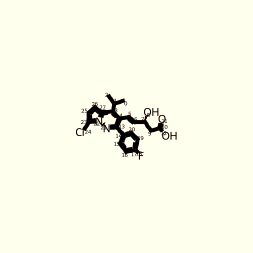 CC(C)c1c(C=C[C@@H](O)CC(=O)O)c(-c2ccc(F)cc2)nn2c(Cl)ccc12